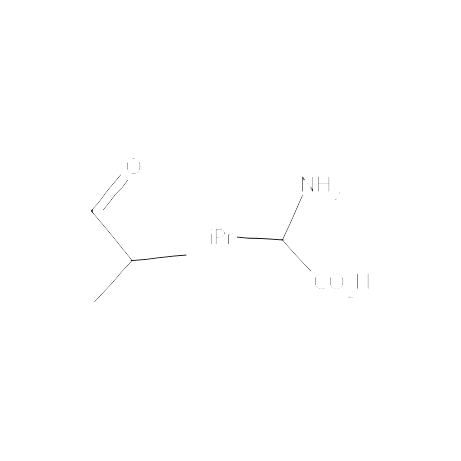 CC(C)C(N)C(=O)O.CC(C)C=O